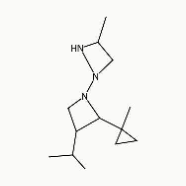 CC1CN(N2CC(C(C)C)C2C2(C)CC2)N1